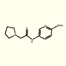 CNc1ccc(NC(=O)CN2CCCC2)cn1